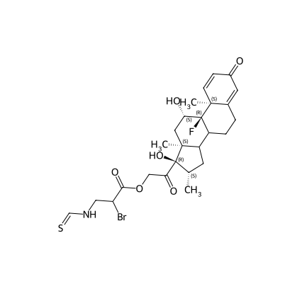 C[C@H]1CC2C3CCC4=CC(=O)C=C[C@]4(C)[C@@]3(F)[C@@H](O)C[C@]2(C)[C@@]1(O)C(=O)COC(=O)C(Br)CNC=S